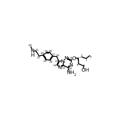 CCC[C@H](CCO)Oc1nc(N)c2ncc(Cc3ccc(CCNC)cc3)n2n1